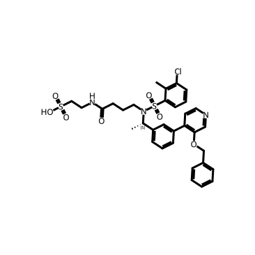 Cc1c(Cl)cccc1S(=O)(=O)N(CCCC(=O)NCCS(=O)(=O)O)[C@@H](C)c1cccc(-c2ccncc2OCc2ccccc2)c1